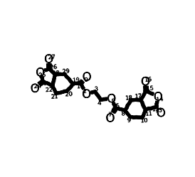 O=C(OCCOC(=O)C1CCC2C(=O)OC(=O)C2C1)C1CCC2C(=O)OC(=O)C2C1